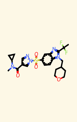 CN(C(=O)c1cnn(S(=O)(=O)c2ccc3c(c2)nc(C(C)(F)F)n3CC2CCOCC2)c1)C1CC1